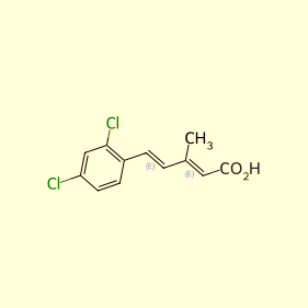 CC(/C=C/c1ccc(Cl)cc1Cl)=C\C(=O)O